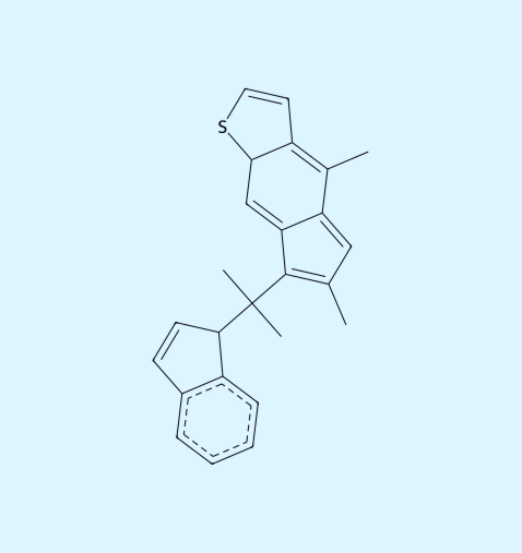 CC1=C(C(C)(C)C2C=Cc3ccccc32)C2=CC3SC=CC3=C(C)C2=C1